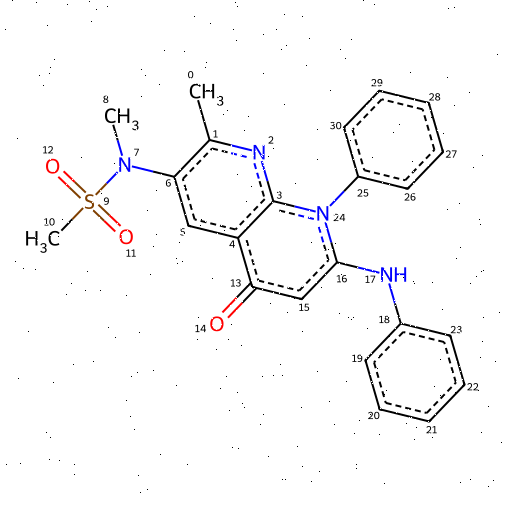 Cc1nc2c(cc1N(C)S(C)(=O)=O)c(=O)cc(Nc1ccccc1)n2-c1ccccc1